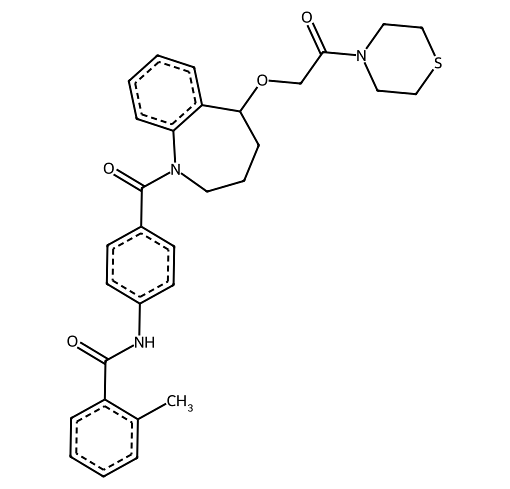 Cc1ccccc1C(=O)Nc1ccc(C(=O)N2CCCC(OCC(=O)N3CCSCC3)c3ccccc32)cc1